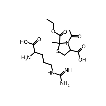 CCOC(=O)C1(C)SCC(C(=O)O)N1C(C)=O.N=C(N)NCCCC(N)C(=O)O